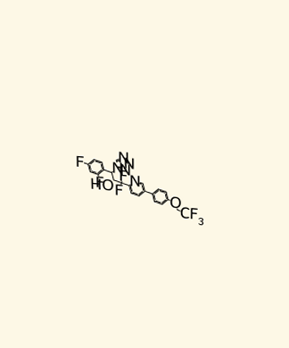 OC(C(c1ccc(F)cc1F)n1cnnn1)C(F)(F)c1ccc(-c2ccc(OCC(F)(F)F)cc2)cn1